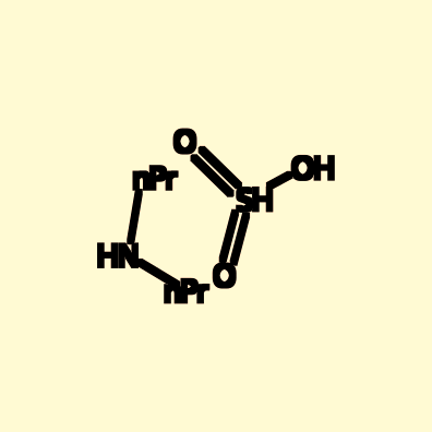 CCCNCCC.O=[SH](=O)O